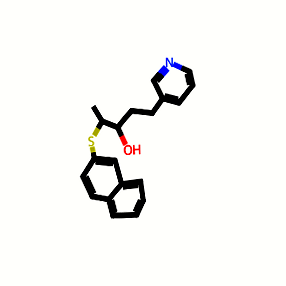 CC(Sc1ccc2ccccc2c1)C(O)CCc1cccnc1